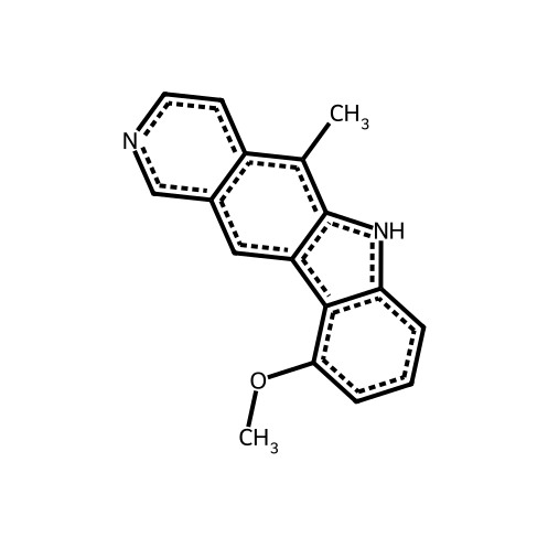 COc1cccc2[nH]c3c(C)c4ccncc4cc3c12